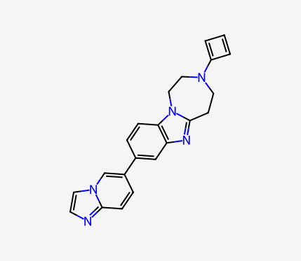 C1=CC(N2CCc3nc4cc(-c5ccc6nccn6c5)ccc4n3CC2)=C1